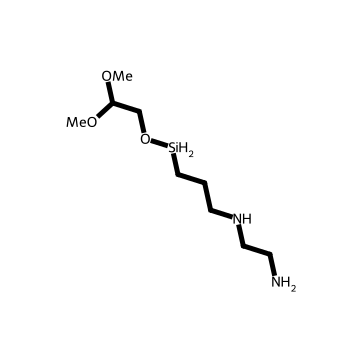 COC(CO[SiH2]CCCNCCN)OC